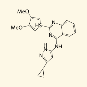 COC1=C[SH](c2nc(Nc3cc(C4CC4)n[nH]3)c3ccccc3n2)C=C1OC